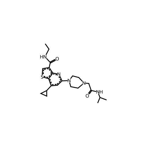 CCNC(=O)c1csc2c(C3CC3)cc(N3CCN(CC(=O)NC(C)C)CC3)nc12